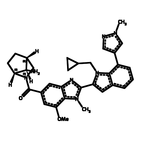 COc1cc(C(=O)N2C[C@H]3CC[C@@H]2[C@@H]3N)cc2nc(-c3cc4cccc(-c5cnn(C)c5)c4n3CC3CC3)n(C)c12